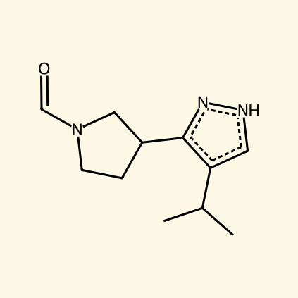 CC(C)c1c[nH]nc1C1CCN(C=O)C1